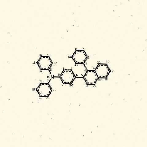 c1ccc(-c2c(-c3ccc(N(c4ccccc4)c4ccccc4)cc3)ccc3ccccc23)cc1